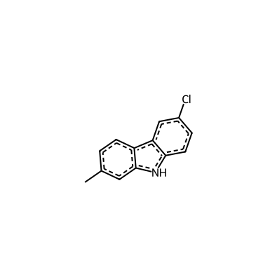 Cc1ccc2c(c1)[nH]c1ccc(Cl)cc12